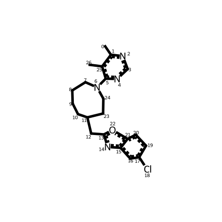 Cc1ncnc(N2CCCCC(Cc3nc4cc(Cl)ccc4o3)CC2)c1C